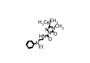 CCN(CCNC(=O)n1nc(N(C)C)n(C)c1=O)c1ccccc1